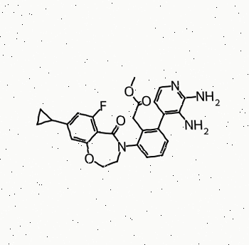 COC(=O)Cc1c(-c2ccnc(N)c2N)cccc1N1CCOc2cc(C3CC3)cc(F)c2C1=O